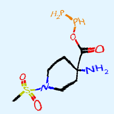 CS(=O)(=O)N1CCC(N)(C(=O)OPP)CC1